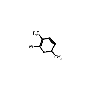 CCC1=C(C(F)(F)F)C=CC(C)C1